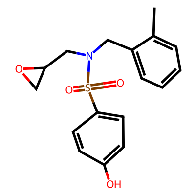 Cc1ccccc1CN(CC1CO1)S(=O)(=O)c1ccc(O)cc1